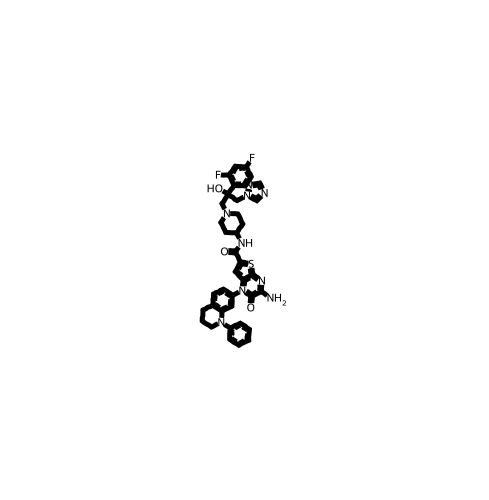 Nc1nc2sc(C(=O)NC3CCN(CC(O)(Cn4cncn4)c4ccc(F)cc4F)CC3)cc2n(-c2ccc3c(c2)N(c2ccccc2)CCC3)c1=O